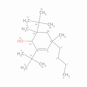 CCCCC1(C)C=C(C(C)(C)C)C(O)C(C)(C(C)(C)C)C1